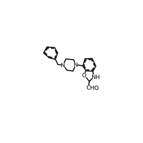 O=CC1Nc2cccc(N3CCN(Cc4ccccc4)CC3)c2O1